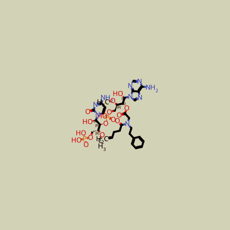 C=CCCC(=O)N(CCc1ccccc1)CC(=O)O[C@@H]([C@@H](O)n1cnc2c(N)ncnc21)[C@@H](COP(=O)(O)O[C@@H]([C@@H](O)n1ccc(N)nc1=O)[C@@H](COP(=O)(O)O)OC)OC